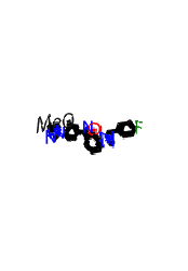 COc1cc(-c2noc3c2CCCC3N(C)Cc2ccc(F)cc2)ccc1-n1cnc(C)c1